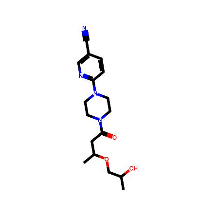 CC(O)COC(C)CC(=O)N1CCN(c2ccc(C#N)cn2)CC1